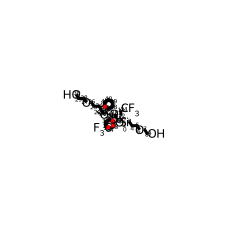 C[Si](C)(CCCOCCO)O[Si](CCC(F)(F)F)(CCC(F)(F)F)O[Si](O[Si](C)(C)CCCOCCO)(c1ccccc1)c1ccccc1